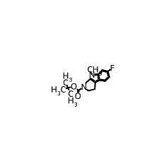 Cn1c2c(c3ccc(F)cc31)CCN(C(=O)OC(C)(C)C)C2